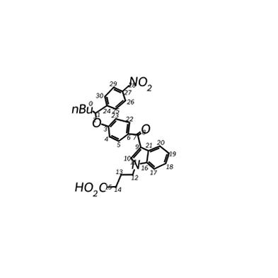 CCCCC(Oc1ccc(C(=O)c2cn(CCCC(=O)O)c3ccccc23)cc1)c1ccc([N+](=O)[O-])cc1